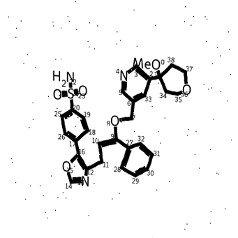 COC1(c2cncc(CO/C(=C/Cc3ncoc3-c3ccc(S(N)(=O)=O)cc3)c3ccccc3)c2)CCOCC1